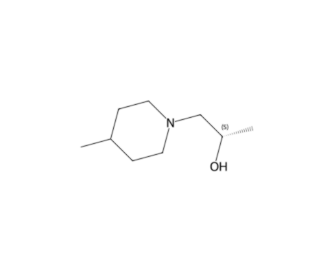 CC1CCN(C[C@H](C)O)CC1